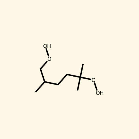 CC(CCC(C)(C)OO)COO